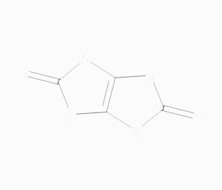 S=c1sc2sc(=S)sc2s1